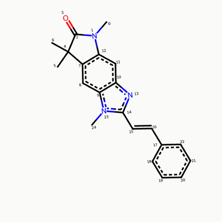 CN1C(=O)C(C)(C)c2cc3c(cc21)nc(/C=C/c1ccccc1)n3C